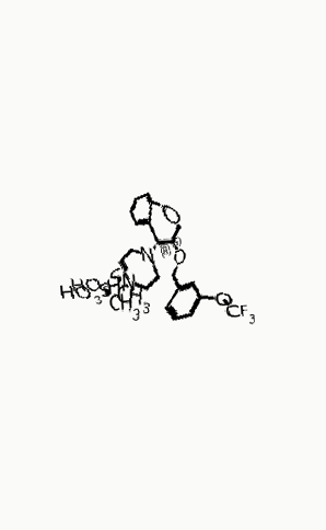 CS(=O)(=O)O.CS(=O)(=O)O.FC(F)(F)Oc1cccc(CO[C@@H]2COc3ccccc3[C@H]2N2CCNCC2)c1